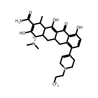 CC1C(C(N)=O)=C(O)[C@@H](N(C)C)C2CC3Cc4c(C5=CCN(CCC(F)(F)F)CC5)ccc(O)c4C(=O)C3=C(O)C12